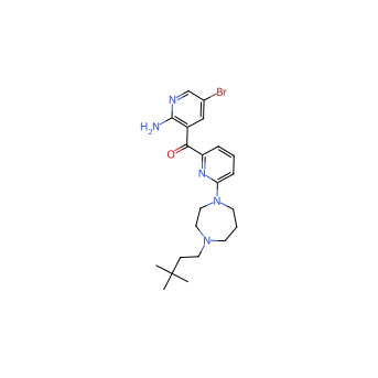 CC(C)(C)CCN1CCCN(c2cccc(C(=O)c3cc(Br)cnc3N)n2)CC1